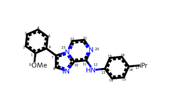 COc1ccccc1-c1cnc2c(Nc3ccc(C(C)C)cc3)nccn12